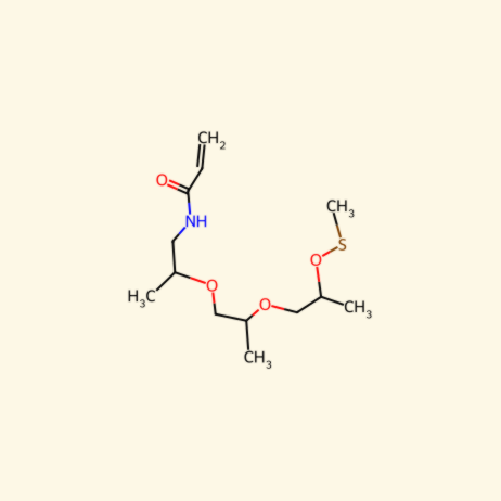 C=CC(=O)NCC(C)OCC(C)OCC(C)OSC